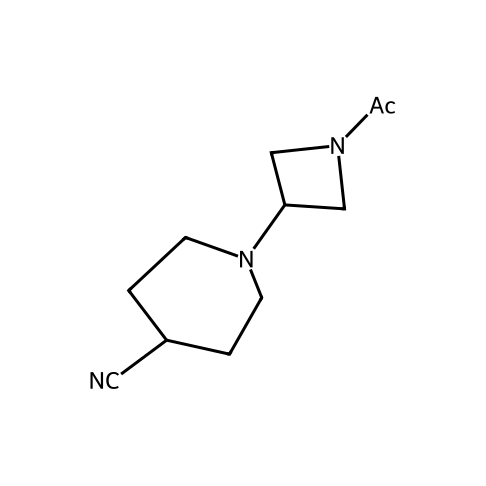 CC(=O)N1CC(N2CCC(C#N)CC2)C1